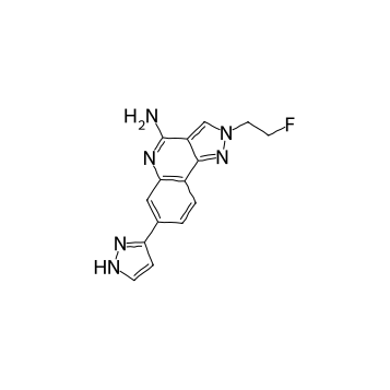 Nc1nc2cc(-c3cc[nH]n3)ccc2c2nn(CCF)cc12